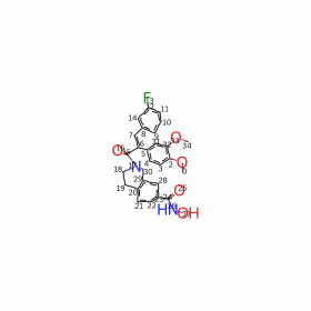 COc1ccc(C(=Cc2cccc(F)c2)C(=O)N2CCc3ccc(C(=O)NO)cc3C2)cc1OC